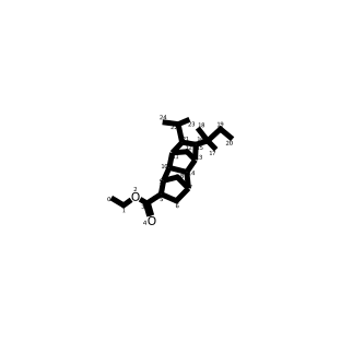 CCOC(=O)C1CC2CC1C1C3CC(C21)C(C(C)(C)CC)C3C(C)C